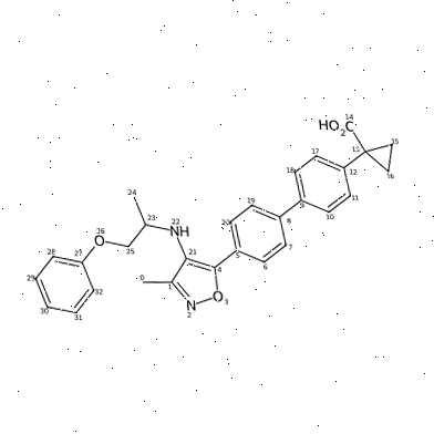 Cc1noc(-c2ccc(-c3ccc(C4(C(=O)O)CC4)cc3)cc2)c1NC(C)COc1ccccc1